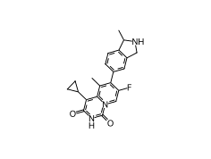 Cc1c(-c2ccc3c(c2)CNC3C)c(F)cn2c(=O)[nH]c(=O)c(C3CC3)c12